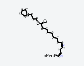 CCCCC/C=C\C/C=C\CCCCCCCC(=O)OC[CH]CN1CCCC1